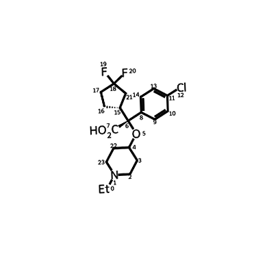 CCN1CCC(O[C@@](C(=O)O)(c2ccc(Cl)cc2)[C@@H]2CCC(F)(F)C2)CC1